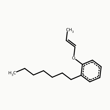 CC=COc1ccccc1CCCCCCC